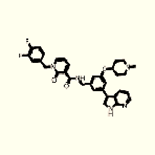 CN1CCC(Oc2cc(CNC(=O)c3cccn(Cc4ccc(F)c(F)c4)c3=O)cc(C3=CNC4N=CC=CC34)c2)CC1